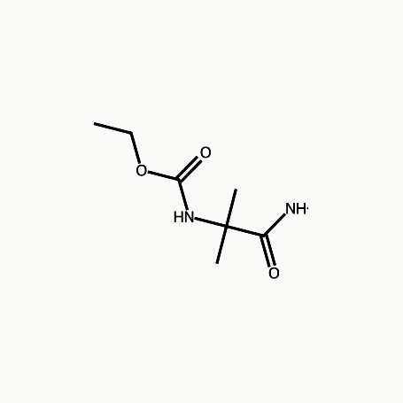 CCOC(=O)NC(C)(C)C([NH])=O